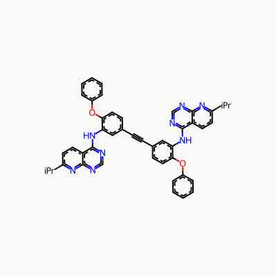 CC(C)c1ccc2c(Nc3cc(C#Cc4ccc(Oc5ccccc5)c(Nc5ncnc6nc(C(C)C)ccc56)c4)ccc3Oc3ccccc3)ncnc2n1